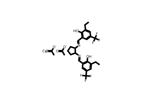 CC(=O)[O-].CC(=O)[O-].CCc1cc(C(F)(F)F)cc(C=NC2CCCC2N=Cc2cc(C(F)(F)F)cc(CC)c2O)c1O.[Co+2]